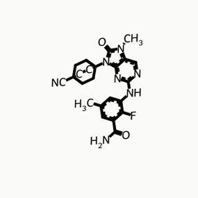 Cc1cc(Nc2ncc3c(n2)n(C24CCC(C#N)(CC2)CC4)c(=O)n3C)c(F)c(C(N)=O)c1